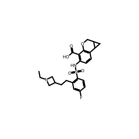 CCN1CC(CCc2cc(F)ccc2S(=O)(=O)Nc2ccc3c(c2C(=O)O)OCC2CC32)C1